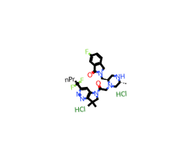 CCCC(F)(F)c1cc2c(nn1)C(C)(C)CN2C(=O)CN1C[C@@H](C)NC[C@@H]1CN1Cc2ccc(F)cc2C1=O.Cl.Cl